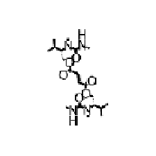 CNC(=O)N(C)[C@H](COC(=O)/C=C/C(=O)OC[C@H](C(C)C)N(C)C(=O)NC)C(C)C